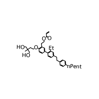 C=CC(=O)OCCc1cc(-c2ccc(CCc3ccc(CCCCC)cc3)cc2CC)ccc1OCCC(C)(CO)CO